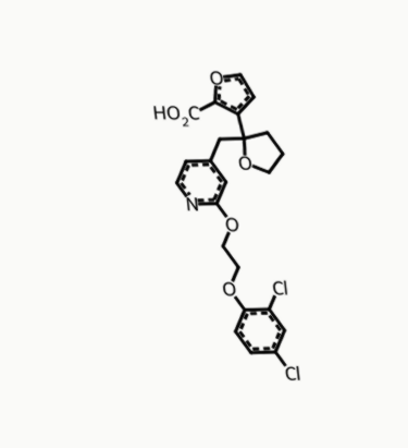 O=C(O)c1occc1C1(Cc2ccnc(OCCOc3ccc(Cl)cc3Cl)c2)CCCO1